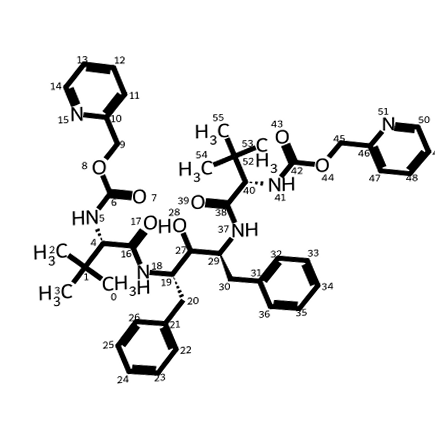 CC(C)(C)[C@H](NC(=O)OCc1ccccn1)C(=O)N[C@@H](Cc1ccccc1)C(O)[C@H](Cc1ccccc1)NC(=O)[C@@H](NC(=O)OCc1ccccn1)C(C)(C)C